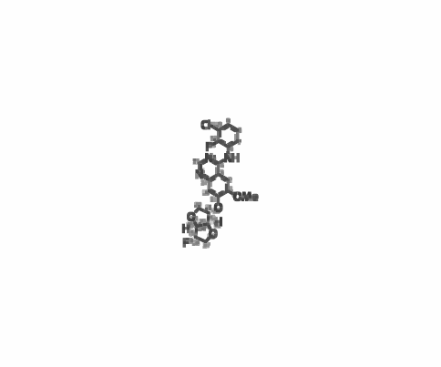 COc1cc2c(Nc3cccc(Cl)c3F)ncnc2cc1O[C@H]1CO[C@H]2[C@@H]1OC[C@@H]2F